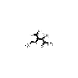 CCCC(C(N)=O)=C(C)C(N)=O